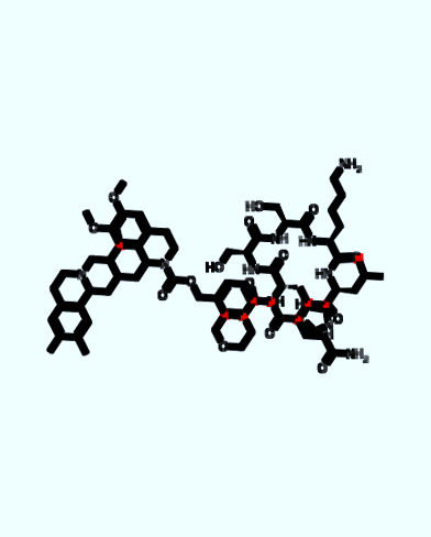 CCC1CN2CCc3cc(C)c(C)cc3C2CC1CC1c2cc(OC)c(OC)cc2CCN1C(=O)OCc1ccc(NC(=O)C(CCC(N)=O)NC(=O)[C@H](CC(C)C)NC(=O)[C@H](CCCCN)NC(=O)[C@H](CO)NC(=O)[C@H](CO)NC(=O)[C@H](Cc2c[nH]cn2)NC(=O)N2CCOCC2)cc1